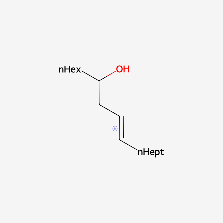 CCCCCCC/C=C/CC(O)CCCCCC